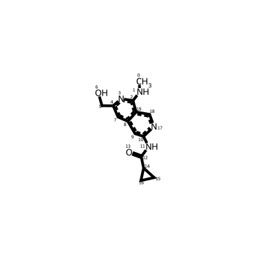 CNc1nc(CO)cc2cc(NC(=O)C3CC3)ncc12